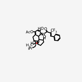 CC(=O)OC1=C2C[C@@H]3[C@@H]4CCC[C@@H]5OC(NC(=O)C(=Cc6ccccc6)C(F)(F)F)(C(O)=C1)C2[C@@]54CC[N+]3(C)CC(C)C